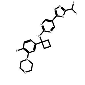 Fc1ccc(C2(Nc3ncc(-c4nnc(C(F)F)o4)cn3)CCC2)cc1N1CCOCC1